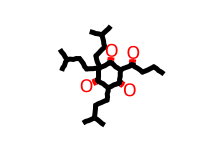 CCCC(=O)C1C(=O)C(CCC(C)C)C(=O)C(CCC(C)C)(CCC(C)C)C1=O